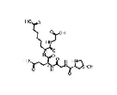 NC(=O)CC[C@H](NC(=O)CNC(=O)[C@@H]1C[C@@H](O)CN1)C(=O)N[C@@H](CCCCCC(=O)O)C(=O)NCC(=O)O